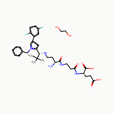 CC(C)(C)[C@@H](NCC[C@H](N)C(=O)NCCC(=O)N[C@H](CCC(=O)O)C(=O)O)c1cc(-c2cc(F)ccc2F)cn1Cc1ccccc1.OCCO